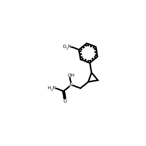 NC(=O)N(O)CC1CC1c1cccc([N+](=O)[O-])c1